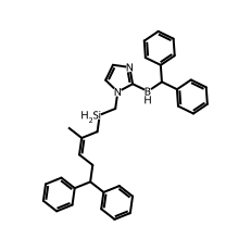 CC(=CCC(c1ccccc1)c1ccccc1)C[SiH2]Cn1ccnc1BC(c1ccccc1)c1ccccc1